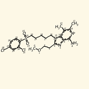 COCCc1nc2c(N)nc(C)c(C)c2n1CCCCCS(=O)(=O)c1ccc(Cl)cc1Cl